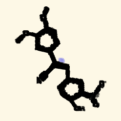 COc1ccc(/C(C#N)=C/c2ccc(O)c([N+](=O)[O-])c2)cc1OC